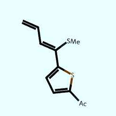 C=C/C=C(\SC)c1ccc(C(C)=O)s1